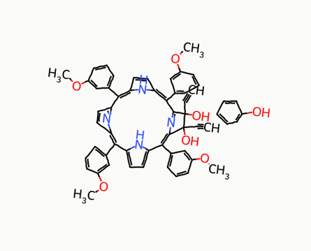 C#CC1(O)c2nc(c(-c3cccc(OC)c3)c3ccc([nH]3)c(-c3cccc(OC)c3)c3nc(c(-c4cccc(OC)c4)c4ccc([nH]4)c2-c2cccc(OC)c2)C=C3)C1(O)C#C.Oc1ccccc1